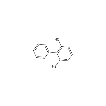 Oc1cccc(S)c1-c1ccccc1